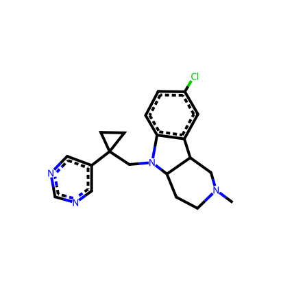 CN1CCC2C(C1)c1cc(Cl)ccc1N2CC1(c2cncnc2)CC1